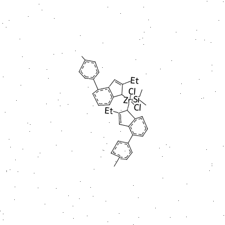 CCC1=Cc2c(-c3ccc(C)cc3)cccc2[CH]1[Zr]([Cl])([Cl])([CH]1C(CC)=Cc2c(-c3ccc(C)cc3)cccc21)=[Si](C)C